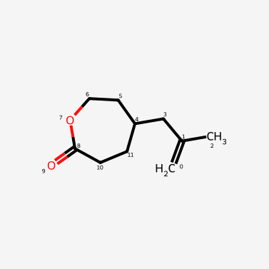 C=C(C)CC1CCOC(=O)CC1